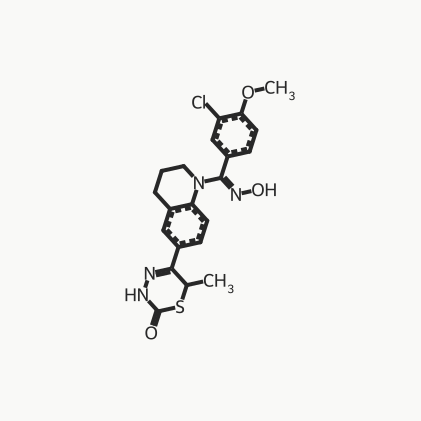 COc1ccc(C(=NO)N2CCCc3cc(C4=NNC(=O)SC4C)ccc32)cc1Cl